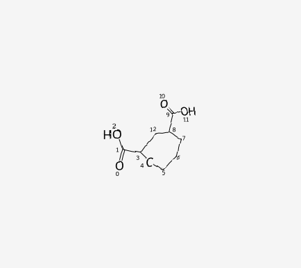 O=C(O)C1CCCCC(C(=O)O)C1